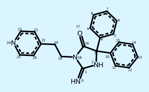 N=C1NC(c2ccccc2)(c2ccccc2)C(=O)N1CCc1ccncc1